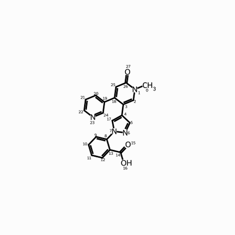 Cn1cc(-c2cnn(-c3ccccc3C(=O)O)c2)c(-c2cccnc2)cc1=O